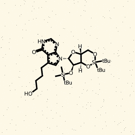 CC(C)(C)[Si](C)(C)O[C@@H]1[C@@H]2O[Si](C(C)(C)C)(C(C)(C)C)OC[C@H]2O[C@H]1n1cc(CCCCO)c2c(=O)[nH]cnc21